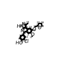 COc1cc2c(-c3ccc(O)c(Cl)c3)nc3[nH]nc(C)c3c2cc1OCC1CCCO1